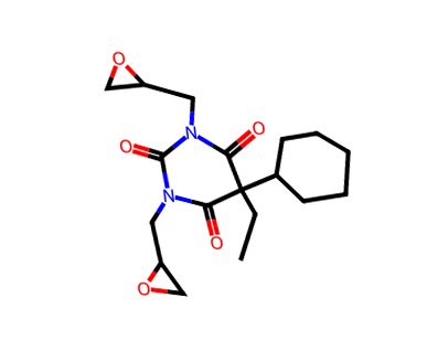 CCC1(C2CCCCC2)C(=O)N(CC2CO2)C(=O)N(CC2CO2)C1=O